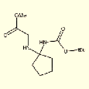 COC(=O)CNC1(NC(=O)OC(C)(C)C)CCCC1